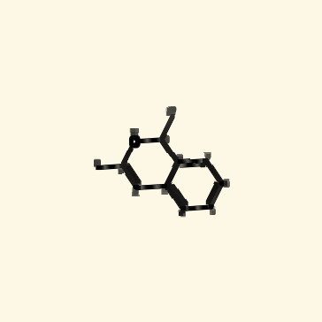 CC1=Cc2ccccc2C(C)O1